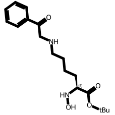 CC(C)(C)OC(=O)[C@H](CCCCNCC(=O)c1ccccc1)NO